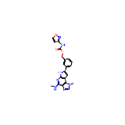 CNc1nc2[nH]c(-c3cccc(COC(=O)Nc4ccon4)c3)cc2c2c1ncn2C